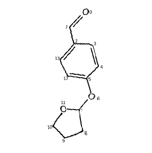 O=Cc1ccc(OC2CCCO2)cc1